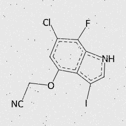 N#CCOc1cc(Cl)c(F)c2[nH]cc(I)c12